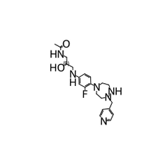 CC(=O)NC[C@H](O)CNc1ccc(N2CCNN(Cc3ccncc3)CC2)c(F)c1